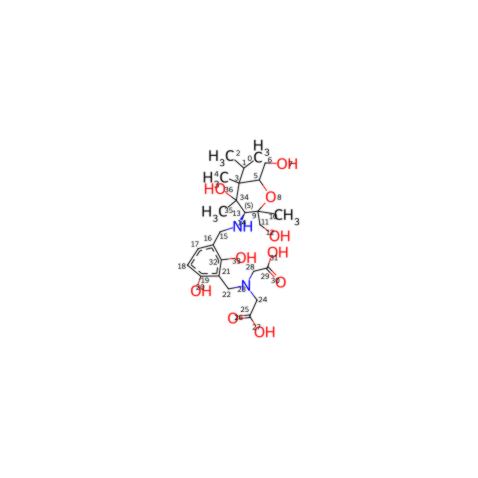 CC(C)C1(C)C(CO)OC(C)(CO)[C@@H](NCc2ccc(O)c(CN(CC(=O)O)CC(=O)O)c2O)C1(C)O